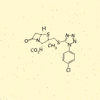 C[C@@]1(CSc2nnnn2-c2ccc(Cl)cc2)S[C@@H]2CC(=O)N2[C@H]1C(=O)O